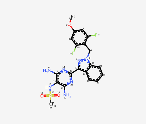 CCOc1cc(F)c(Cn2nc(-c3nc(N)c(NS(=O)(=O)C(F)(F)F)c(N)n3)c3ccccc32)c(F)c1